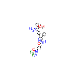 C[C@]1(O)C[C@@](N)(c2ccc(-c3cnc(NC(=O)CC4CCC(NC(=O)C(F)F)CC4)cc3-c3ccccc3)cc2)C1